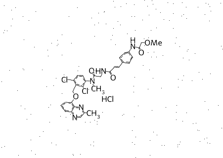 COCC(=O)Nc1ccc(C=CC(=O)NCC(=O)N(C)c2ccc(Cl)c(COc3cccc4ncc(C)nc34)c2Cl)cc1.Cl